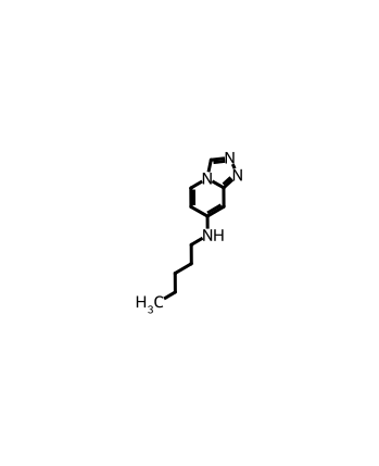 CCCCCNc1ccn2cnnc2c1